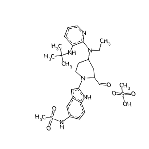 CCN(c1ncccc1NC(C)(C)C)C1CCN(c2cc3cc(NS(C)(=O)=O)ccc3[nH]2)C(C=O)C1.CS(=O)(=O)O